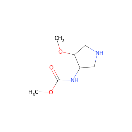 COC(=O)NC1CNCC1OC